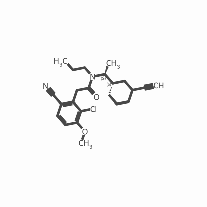 C#CC1CCC[C@H]([C@H](C)N(CCC)C(=O)Cc2c(C#N)ccc(OC)c2Cl)C1